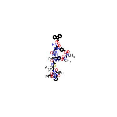 CCC(C)C(NC(=O)C1CCCCN1C)C(=O)N(COC(=O)CC(C)C)C(CC(OC(C)=O)c1nc(C(=O)NC(Cc2ccc(OC(=O)N(C)CCN(C)C(=O)OCc3ccc(NC(=O)[C@H](CCCNC(N)=O)NC(=O)OCC4c5ccccc5-c5ccccc54)cc3)cc2)CC(C)C)cs1)C(C)C